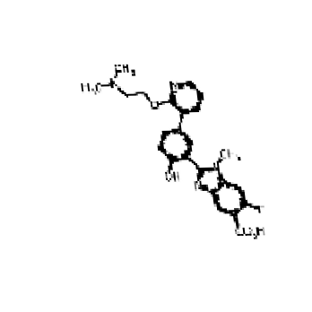 CN(C)CCOc1ncccc1-c1ccc(O)c(-c2nc3cc(C(=O)O)c(F)cc3n2C)c1